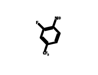 [NH]c1ccc(C(F)(F)F)cc1F